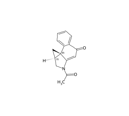 CC(=O)N1C[C@H]2C[C@@]23C1=CC(=O)c1ccccc13